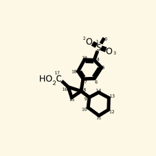 CS(=O)(=O)c1ccc(C2(C3CCCCC3)CC2C(=O)O)cc1